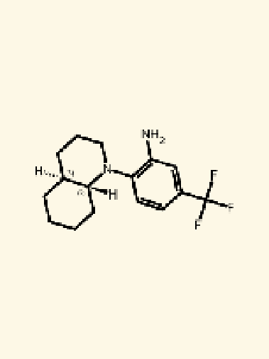 Nc1cc(C(F)(F)F)ccc1N1CCC[C@@H]2CCCC[C@H]21